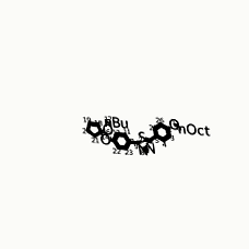 CCCCCCCCOc1ccc(-c2nnc(-c3ccc(OC4(OCCCC)C=CCC4)cc3)s2)cc1